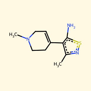 Cc1nsc(N)c1C1=CCN(C)CC1